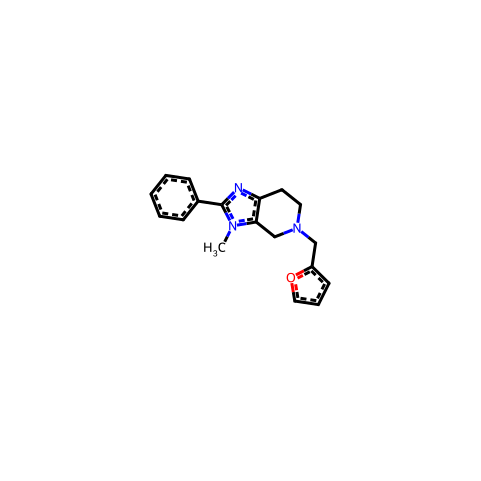 Cn1c(-c2ccccc2)nc2c1CN(Cc1ccco1)CC2